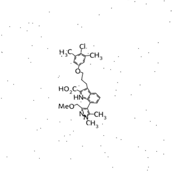 COCc1nn(C)c(C)c1-c1cccc2c(CCCOc3cc(C)c(Cl)c(C)c3)c(C(=O)O)[nH]c12